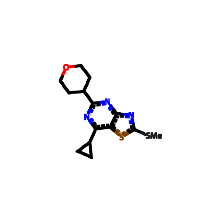 CSc1nc2nc(C3CCOCC3)nc(C3CC3)c2s1